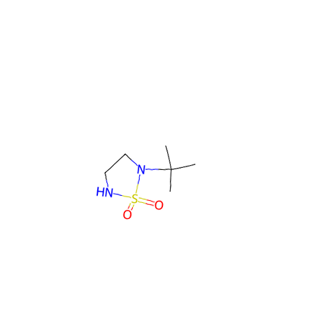 CC(C)(C)N1CCNS1(=O)=O